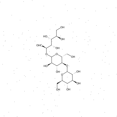 O=C[C@H](OC1O[C@H](CO)[C@@H](OC2O[C@H](CO)[C@@H](O)[C@H](O)[C@H]2O)[C@H](O)[C@H]1O)[C@@H](O)[C@H](O)[C@H](O)CO